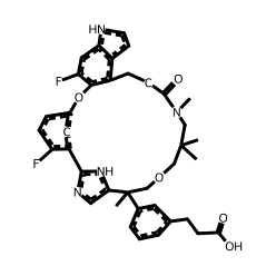 CN1CC(C)(C)COCC(C)(c2cccc(CCC(=O)O)c2)c2cnc([nH]2)-c2cc(ccc2F)Oc2c(F)cc3[nH]ccc3c2CCC1=O